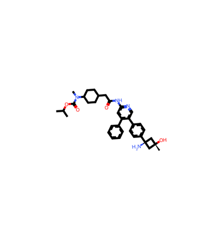 CC(C)OC(=O)N(C)C1CCC(CC(=O)Nc2cc(-c3ccccc3)c(-c3ccc([C@]4(N)C[C@](C)(O)C4)cc3)cn2)CC1